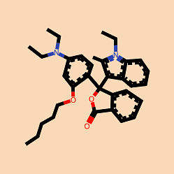 CCCCCOc1cc(N(CC)CC)ccc1C1(c2c(C)n(CC)c3ccccc23)OC(=O)c2ccccc21